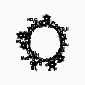 CCCC[C@H]1C(=O)N2CCOC[C@@H]2C(=O)N[C@@H](CC(=O)O)C(=O)N[C@@H](C(C)C)C(=O)N(C)[C@@H](Cc2ccccc2)C(=O)N[C@@H](CCC(=O)O)C(=O)N2CCC[C@@H]2C(=O)N[C@@H](Cc2c[nH]c3ccccc23)C(=O)N[C@@H](Cc2ccc(O)cc2)C(=O)N[C@@H](CCOC)C(=O)N[C@H](C(=O)NCC(N)=O)CSCC(=O)N[C@@H](Cc2cc(F)c(F)c(F)c2)C(=O)N(C)[C@@H](Cc2ccccc2)C(=O)N1C